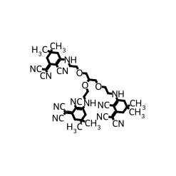 CC1(C)CC(NCCOCC(COCCNC2=C(C#N)C(=C(C#N)C#N)CC(C)(C)C2)OCCNC2=C(C#N)C(=C(C#N)C#N)CC(C)(C)C2)=C(C#N)C(=C(C#N)C#N)C1